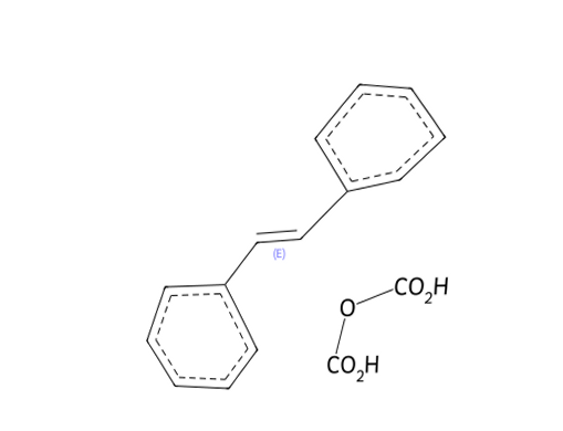 C(=C\c1ccccc1)/c1ccccc1.O=C(O)OC(=O)O